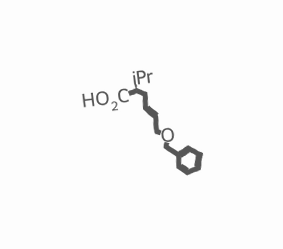 CC(C)[C@H](C/C=C/COCc1ccccc1)C(=O)O